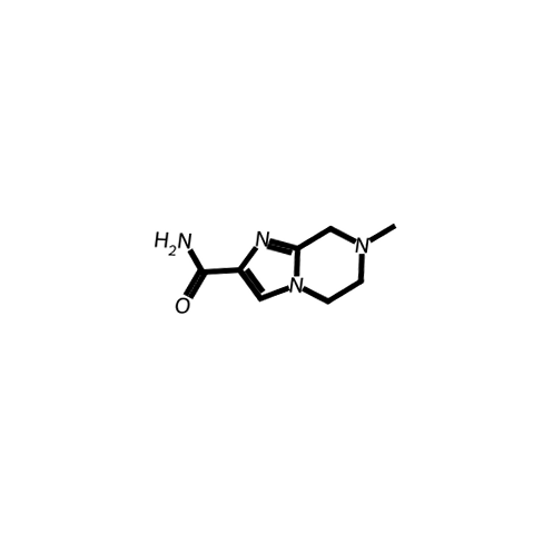 CN1CCn2cc(C(N)=O)nc2C1